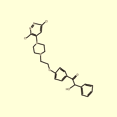 O=C(c1ccc(OCCN2CCN(c3cc(Cl)nnc3Cl)CC2)cc1)C(O)c1ccccc1